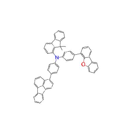 CC1(C)c2ccccc2-c2cccc(N(c3ccc(-c4ccc5c6c(cccc46)-c4ccccc4-5)cc3)c3ccc(-c4cccc5c4oc4ccccc45)cc3)c21